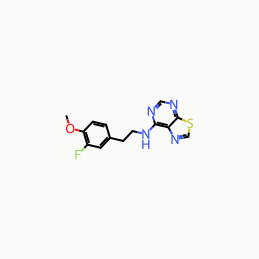 COc1ccc(CCNc2ncnc3scnc23)cc1F